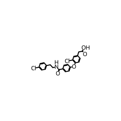 O=C(O)Cc1ccc(Oc2ccc(C(=O)NCCc3ccc(Cl)cc3)cc2)c(Cl)c1